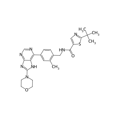 Cc1cc(-c2ncnc3nc(N4CCOCC4)[nH]c23)ccc1CNC(=O)c1cnc(C(C)(C)C)s1